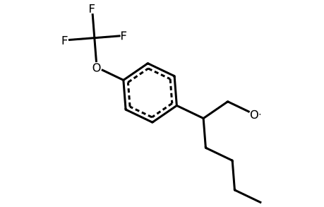 CCCCC(C[O])c1ccc(OC(F)(F)F)cc1